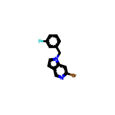 Fc1cccc(Cn2ccc3cnc(Br)cc32)c1